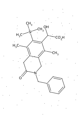 Cc1c2c(c(C)c([Si](C)(C)C)c1C(O)C(=O)O)CC(=O)N(Cc1ccccc1)C2